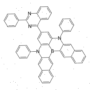 c1ccc(-c2nc(-c3cc4c5c(c3)N(c3ccccc3)c3cc6ccccc6cc3B5c3cc5ccccc5cc3N4c3ccccc3)c3ccccc3n2)cc1